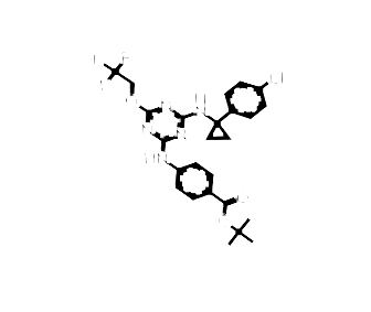 CC(C)(C)OC(=O)c1ccc(Nc2nc(NC3(c4ccc(Cl)cc4)CC3)nc(OCC(F)(F)F)n2)cc1